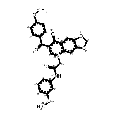 COc1ccc(C(=O)c2cn(CC(=O)Nc3cccc(OC)c3)c3cc4c(cc3c2=O)OCO4)cc1